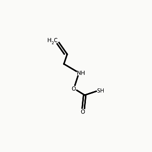 C=CCNOC(=O)S